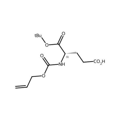 C=CCOC(=O)N[C@@H](CCC(=O)O)C(=O)OC(C)(C)C